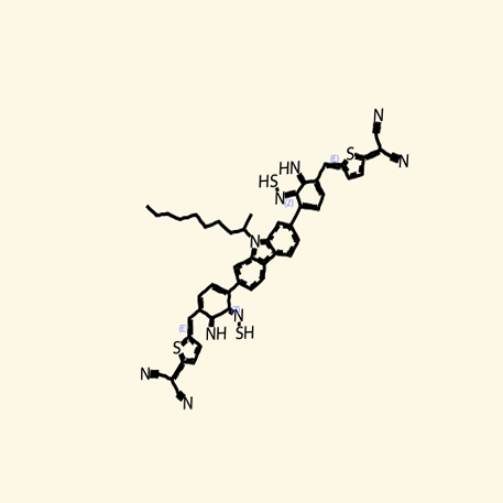 CCCCCCCCC(C)n1c2cc(C3=CC=C(/C=c4\ccc(=C(C#N)C#N)s4)C(=N)/C3=N\S)ccc2c2ccc(C3=CC=C(/C=c4\ccc(=C(C#N)C#N)s4)C(=N)/C3=N\S)cc21